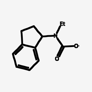 CCN(C([O])=O)C1CCc2ccccc21